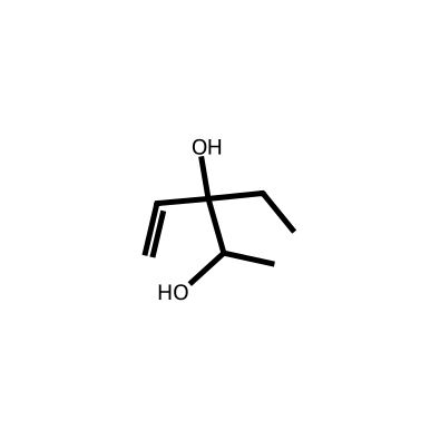 [CH]=CC(O)(CC)C(C)O